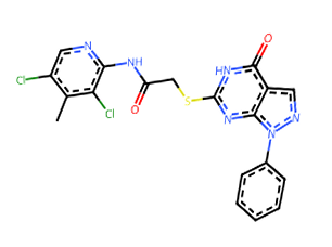 Cc1c(Cl)cnc(NC(=O)CSc2nc3c(cnn3-c3ccccc3)c(=O)[nH]2)c1Cl